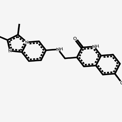 Cc1nc2ccc(NCc3cc4cc(Cl)ccc4[nH]c3=O)cn2c1C